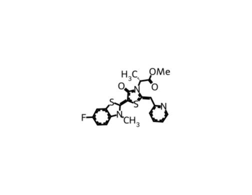 COC(=O)[C@@H](C)n1c(=O)/c(=C2\Sc3cc(F)ccc3N2C)s/c1=C\c1ccccn1